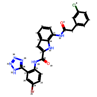 O=C(Cc1cccc(Cl)c1)Nc1cccc2cc(C(=O)Nc3ccc(Br)cc3-c3nnn[nH]3)[nH]c12